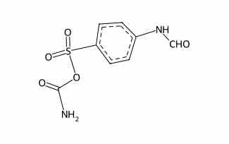 NC(=O)OS(=O)(=O)c1ccc(NC=O)cc1